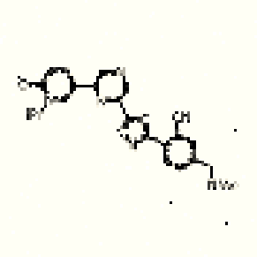 CNCc1ccc(-c2nnc(-c3cncc(-c4ccc(=O)n(C(C)C)c4)n3)o2)c(C#N)c1